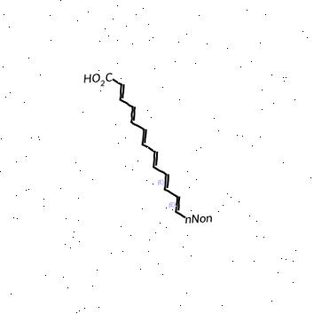 CCCCCCCCC/C=C/C=C/C=CC=CC=CC=CC(=O)O